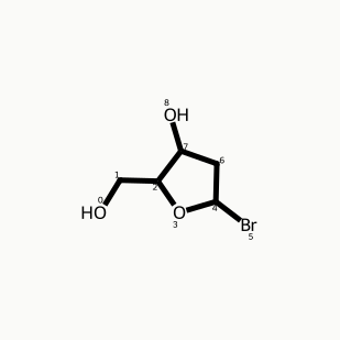 OCC1OC(Br)CC1O